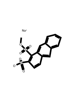 COS(=O)(=O)c1c(S(=O)(=O)[O-])ccc2cc3ccccc3cc12.[Na+]